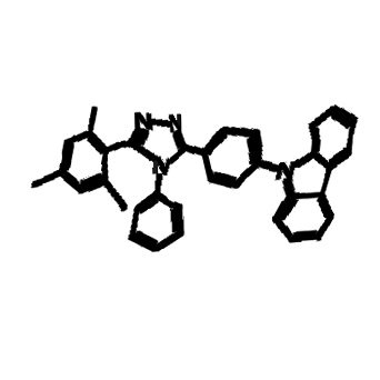 Cc1cc(C)c(-c2nnc(-c3ccc(-n4c5ccccc5c5ccccc54)cc3)n2-c2ccccc2)c(C)c1